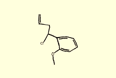 C=CCC(Cl)c1ccccc1OC